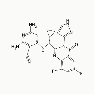 N#Cc1c(N)nc(N)nc1NC(c1nc2c(F)cc(F)cc2c(=O)n1-c1cc[nH]n1)C1CC1